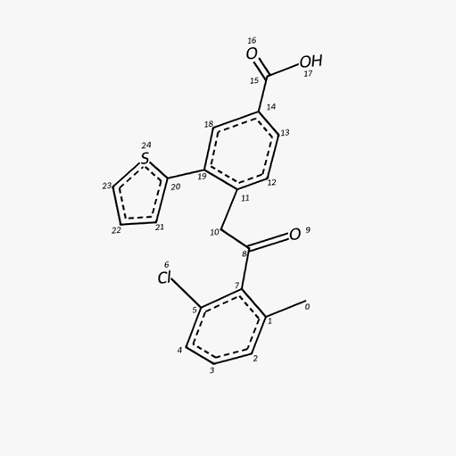 Cc1cccc(Cl)c1C(=O)Cc1ccc(C(=O)O)cc1-c1cccs1